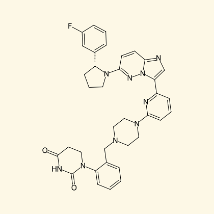 O=C1CCN(c2ccccc2CN2CCN(c3cccc(-c4cnc5ccc(N6CCC[C@@H]6c6cccc(F)c6)nn45)n3)CC2)C(=O)N1